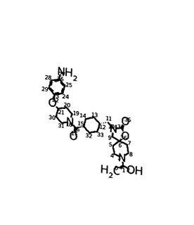 C=C(O)N1CCC2(CC1)CN(C[C@H]1CC[C@H](C(=O)N3CCC(Oc4ccc(N)cc4)CC3)CC1)C(=O)O2